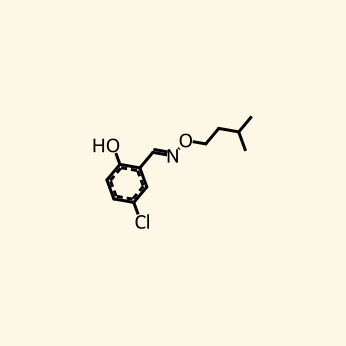 CC(C)CCO/N=C/c1cc(Cl)ccc1O